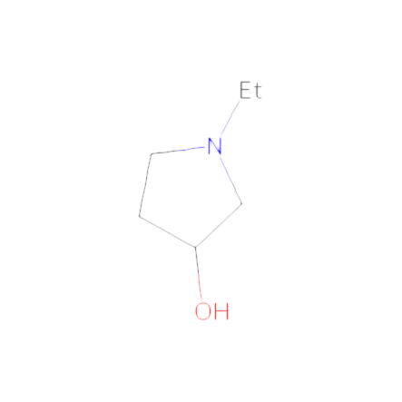 [CH2]CN1CCC(O)C1